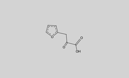 O=C(O)C(=O)Cc1ccco1